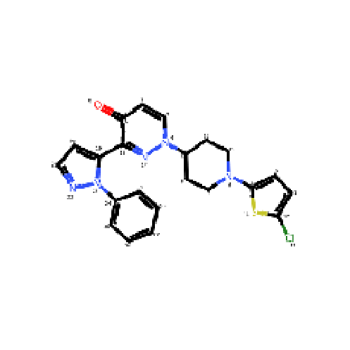 O=c1ccn(C2CCN(c3ccc(Cl)s3)CC2)nc1-c1ccnn1-c1ccccc1